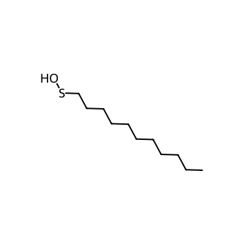 CCCCCCCCCCCSO